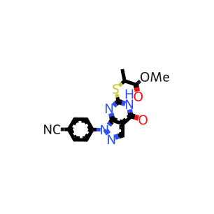 COC(=O)C(C)Sc1nc2c(cnn2-c2ccc(C#N)cc2)c(=O)[nH]1